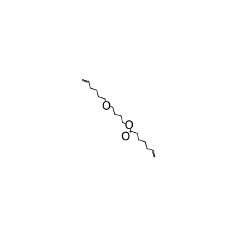 C=CCCCCOCCCCOC(=O)CCCCC=C